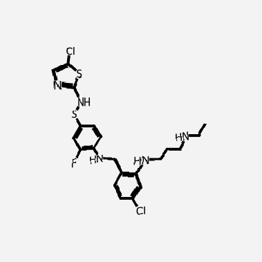 CCNCCCNc1cc(Cl)ccc1CNc1ccc(SNc2ncc(Cl)s2)cc1F